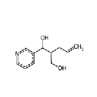 C=CCC(CO)C(O)c1cccnc1